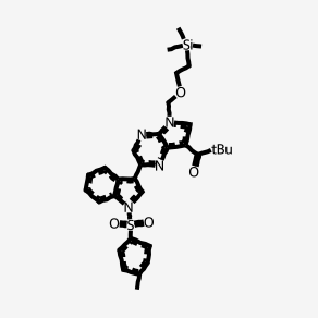 Cc1ccc(S(=O)(=O)n2cc(-c3cnc4c(n3)c(C(=O)C(C)(C)C)cn4COCC[Si](C)(C)C)c3ccccc32)cc1